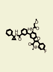 CNC(=O)c1c(-c2ccc(F)cc2)oc2cc(NC(=O)COC)c(-c3cccc(C(=O)NC4(c5ccccc5)CC4)c3)cc12